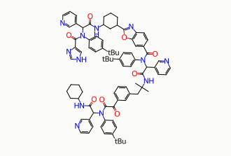 CC(C)(Cc1cccc(C(=O)C(=O)N(c2ccc(C(C)(C)C)cc2)C(C(=O)NC2CCCCC2)c2cccnc2)c1)NC(=O)C(c1cccnc1)N(C(=O)c1ccc2nc(C3CCCC(NC(=O)C(c4cccnc4)N(C(=O)c4c[nH]cn4)c4ccc(C(C)(C)C)cc4)C3)oc2c1)c1ccc(C(C)(C)C)cc1